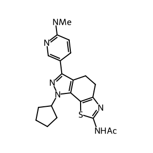 CNc1ccc(-c2nn(C3CCCC3)c3c2CCc2nc(NC(C)=O)sc2-3)cn1